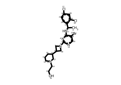 CC(Nc1nc(N2CC(C3CCCN(CCO)C3)C2)ncc1Br)c1ccc(Cl)cc1Cl